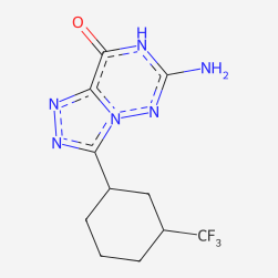 Nc1nn2c(C3CCCC(C(F)(F)F)C3)nnc2c(=O)[nH]1